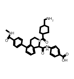 CNC(=O)c1ccc(-c2cccc3c2CCN(C(=O)C2CCC(CN)CC2)C3C(=O)Nc2ccc(C(=O)O)cc2)cc1